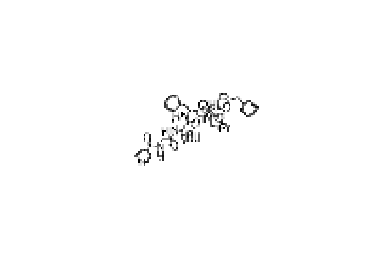 CC(C)CN(CC(O)C(Cc1ccccc1)NC(=O)C(NC(=O)CNC(=O)c1ccncc1)C(C)(C)C)S(=O)(=O)C1=COC(Cc2ccccc2)O1